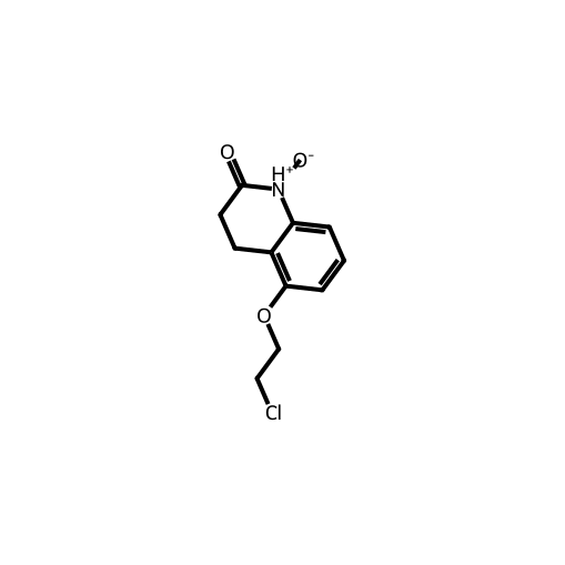 O=C1CCc2c(OCCCl)cccc2[NH+]1[O-]